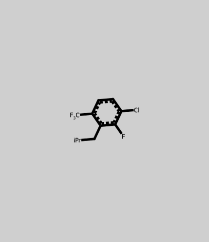 CC(C)Cc1c(C(F)(F)F)ccc(Cl)c1F